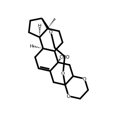 C[C@@]12CCC3[C@H]4CC=C5CC6(OCCOC6C[C@@]53C=O)OCCOC1CC[C@H]42